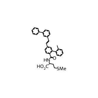 CSCC[C@H](NC(=O)c1ccc(C=Cc2cccc(-c3ccccc3)c2)cc1-c1ccccc1C)C(=O)O